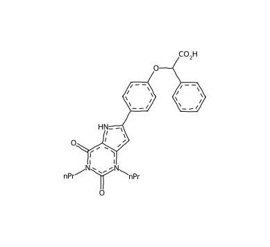 CCCn1c(=O)c2[nH]c(-c3ccc(OC(C(=O)O)c4ccccc4)cc3)cc2n(CCC)c1=O